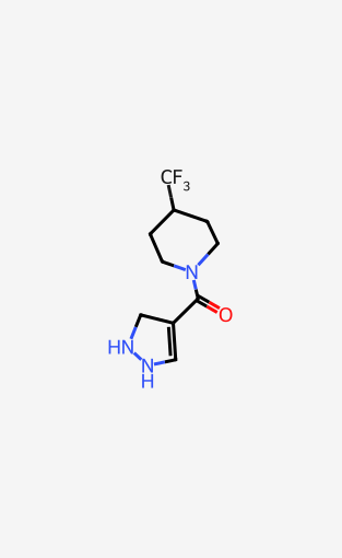 O=C(C1=CNNC1)N1CCC(C(F)(F)F)CC1